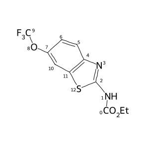 CCOC(=O)Nc1nc2ccc(OC(F)(F)F)cc2s1